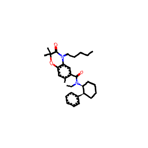 CCCCCN1C(=O)C(C)(C)Oc2cc(C)c(C(=O)N(CC)[C@H]3CCCC[C@H]3c3ccccc3)cc21